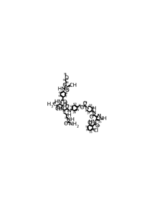 C#CP(=O)(Nc1ccc(C(=O)N[C@H](C(=O)N[C@@H](CCCNC(N)=O)C(=O)Nc2ccc(COC(=O)N3CCC(NC(=O)c4n[nH]cc4NC(=O)c4c(Cl)cccc4Cl)CC3)cc2)C(C)C)cc1)OCCOI